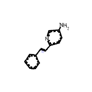 Nc1ccc(/C=C/c2ccccc2)nc1